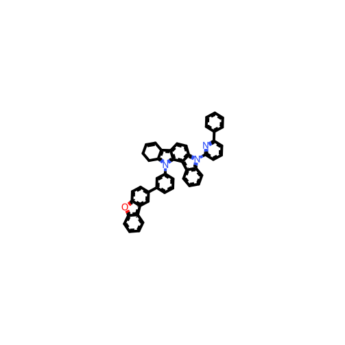 C1=Cc2c(n(-c3cccc(-c4ccc5oc6ccccc6c5c4)c3)c3c2ccc2c3c3ccccc3n2-c2cccc(-c3ccccc3)n2)CC1